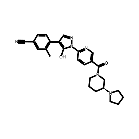 Cc1cc(C#N)ccc1-c1cnn(-c2ccc(C(=O)N3CCC[C@H](N4CCCC4)C3)cn2)c1O